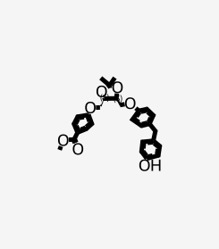 COC(=O)c1ccc(OC[C@@H]2OC(C)(C)O[C@H]2COc2ccc(Cc3ccc(O)cc3)cc2)cc1